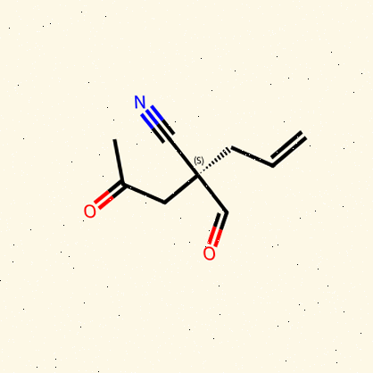 C=CC[C@](C#N)(C=O)CC(C)=O